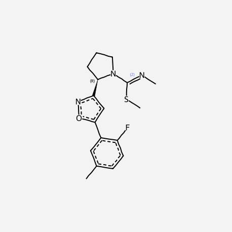 C/N=C(\SC)N1CCC[C@@H]1c1cc(-c2cc(C)ccc2F)on1